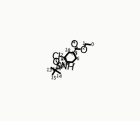 CCOC(=O)[C@H]1CC[C@H](N[S@@+]([O-])C(C)(C)C)[C@@H](Cl)C1